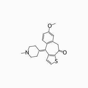 COc1ccc2c(c1)CC(=O)c1sccc1C2=C1CCN(C)CC1